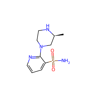 C[C@H]1CN(c2ncccc2S(N)(=O)=O)CCN1